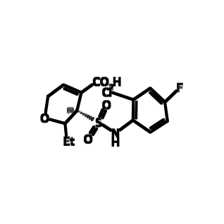 CCC1OCC=C(C(=O)O)[C@@H]1S(=O)(=O)Nc1ccc(F)cc1Cl